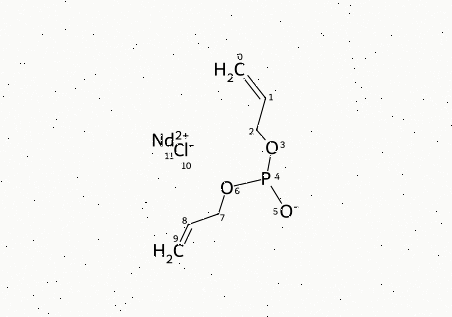 C=CCOP([O-])OCC=C.[Cl-].[Nd+2]